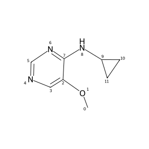 COc1cncnc1NC1CC1